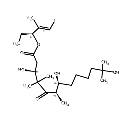 CC[C@H](OC(=O)C[C@H](O)C(C)(C)C(=O)[C@H](C)[C@@H](O)CCCCC(C)(C)O)/C(C)=C/I